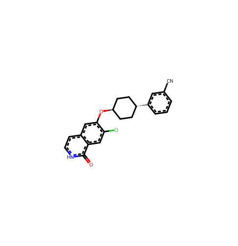 N#Cc1cccc([C@H]2CC[C@H](Oc3cc4cc[nH]c(=O)c4cc3Cl)CC2)c1